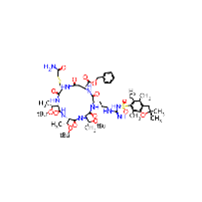 Cc1c(C)c(S(=O)(=O)NC(=N)NCCC[C@@H]2NC(=O)[C@H]([C@@H](C)OC(C)(C)C)NC(=O)[C@H]([C@@H](C)OC(C)(C)C)NC(=O)[C@H]([C@@H](C)OC(C)(C)C)NC(=O)[C@H](CSCC(N)=O)NC(=O)C[C@@H](C(=O)OCc3ccccc3)NC2=O)c(C)c2c1CC(C)(C)O2